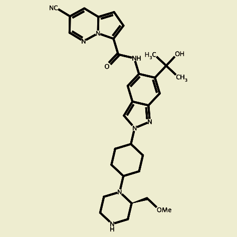 COC[C@H]1CNCCN1C1CCC(n2cc3cc(NC(=O)c4ccc5cc(C#N)cnn45)c(C(C)(C)O)cc3n2)CC1